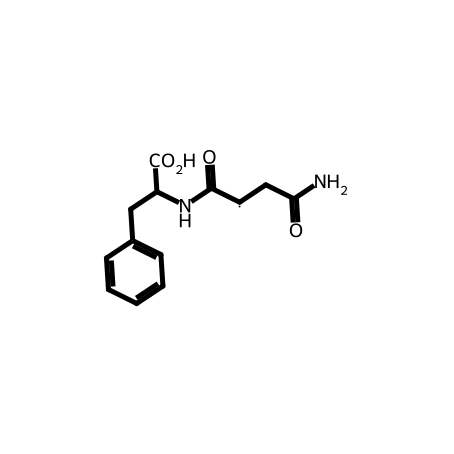 NC(=O)C[CH]C(=O)NC(Cc1ccccc1)C(=O)O